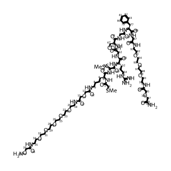 CSCC(=O)N[C@@H](CCCCNC(=O)COCC(=O)NCCOCCOCCOCCOCCOCCNC(=O)CON)C(=O)NC(SSC)C(=O)N[C@@H](CCCNC(=N)N)C(=O)NCC(=O)N[C@@H](CC(=O)O)C(=O)NCC(=O)N[C@@H](Cc1ccccc1)C(=O)NCC(=O)NCCOCCOCCOCCNC(=O)COCC(N)=O